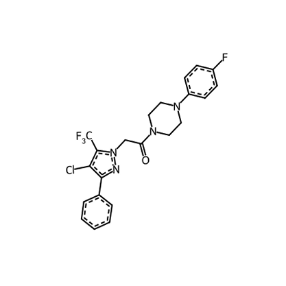 O=C(Cn1nc(-c2ccccc2)c(Cl)c1C(F)(F)F)N1CCN(c2ccc(F)cc2)CC1